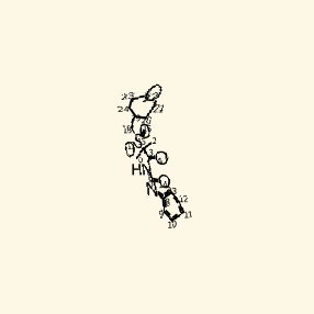 CC(C)(C(=O)Nc1nc2ccccc2o1)S(=O)(=O)CC1CCOCC1